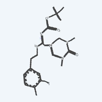 Cc1ccc(CCN/C(=N/C(=O)OC(C)(C)C)N2CN(C)C(=O)N(C)C2)cc1I